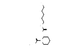 CCCCCCCCCCC(=O)N1CCCC[C@H]1OC(=O)NCCCCCN